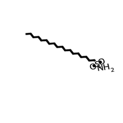 CCCCCCCCCCCCCCCCCCS(N)(=O)=O